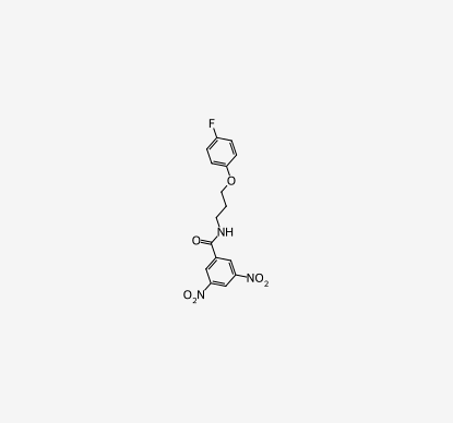 O=C(NCCCOc1ccc(F)cc1)c1cc([N+](=O)[O-])cc([N+](=O)[O-])c1